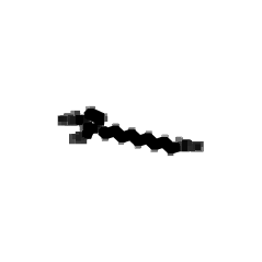 CCCCCCCCCCCCCCCCCCCN1C=CN(CCCC)C1CCC